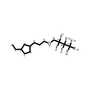 CCC1CCC(CCCOCC(F)(F)C(F)(F)C(F)(F)F)C1